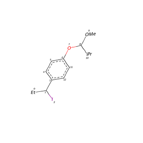 CCC(I)c1ccc(OC(OC)C(C)C)cc1